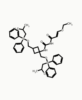 CCOC=CC(=O)NC(=O)NC1(CO[Si](CC(C)C)(c2ccccc2)c2ccccc2)CC(CO[Si](CC(C)C)(c2ccccc2)c2ccccc2)C1